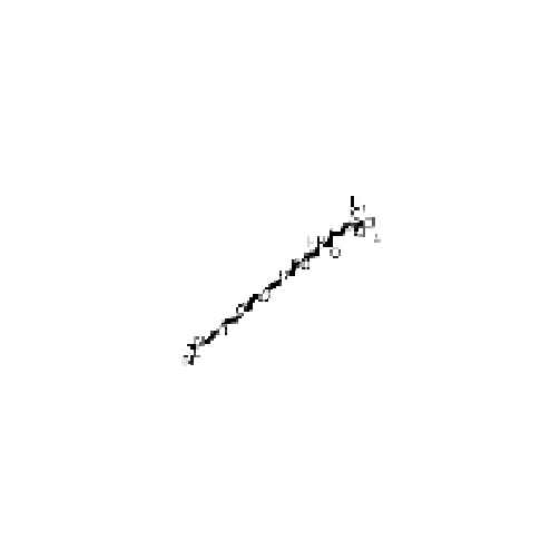 C[Si](C)(Cl)CCCC(=O)NCCOCCOCCOCCOCCOCCN=[N+]=[N-]